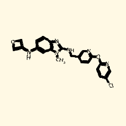 Cn1c(NCc2ccc(Oc3ccc(Cl)cn3)nc2)nc2ccc(NC3COC3)cc21